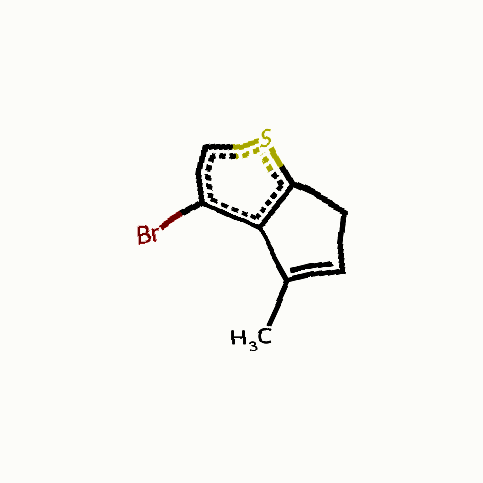 CC1=CCc2scc(Br)c21